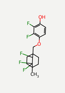 CC12CCC(COc3ccc(O)c(F)c3F)(CC1)C(F)C2(F)F